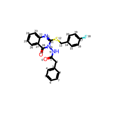 O=C(Cc1ccccc1)Nn1c(SCc2ccc(F)cc2)nc2ccccc2c1=O